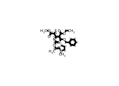 CCOC(=O)c1c(OCc2ccccc2)nc(O[C@@H](C)[C@@H]2CCCN2C)nc1C(F)C(=O)OC